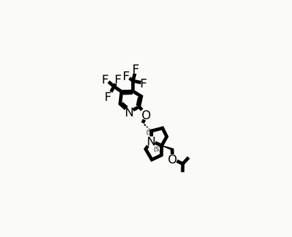 CC(C)OC[C@@]12CCCN1[C@H](COc1cc(C(F)(F)F)c(C(F)(F)F)cn1)CC2